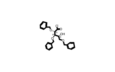 O=C(Cl)[C@@H](OCc1ccccc1)[C@H](OCc1ccccc1)[C@H](O)COCc1ccccc1